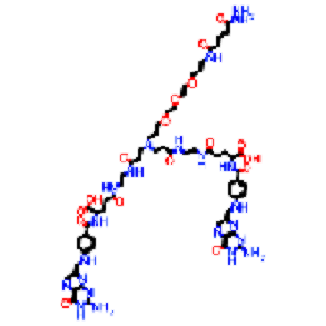 NNC(=O)CCCC(=O)NCCCOCCOCCOCCCN(CCC(=O)NCCNC(=O)CCC(NC(=O)c1ccc(NCc2cnc3c(=O)[nH]c(N)nc3n2)cc1)C(=O)O)CCC(=O)NCCNC(=O)CCC(NC(=O)c1ccc(NCc2cnc3c(=O)[nH]c(N)nc3n2)cc1)C(=O)O